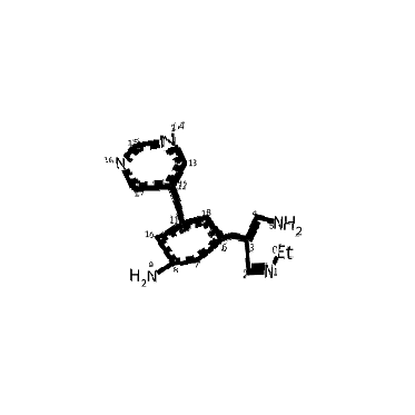 CC/N=C\C(=C/N)c1cc(N)cc(-c2cncnc2)c1